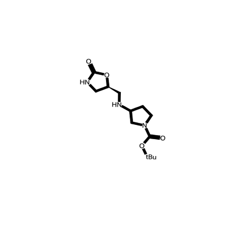 CC(C)(C)OC(=O)N1CCC(NC[C@H]2CNC(=O)O2)C1